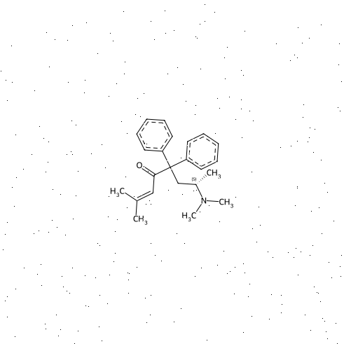 CC(C)=CC(=O)C(C[C@H](C)N(C)C)(c1ccccc1)c1ccccc1